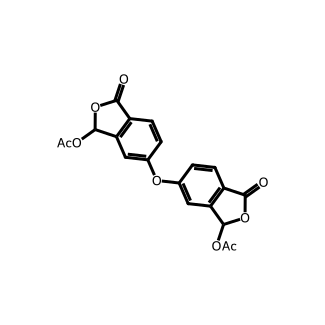 CC(=O)OC1OC(=O)c2ccc(Oc3ccc4c(c3)C(OC(C)=O)OC4=O)cc21